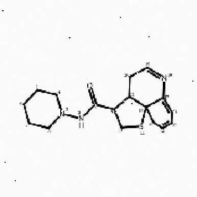 O=C(NN1CCCCC1)C1CSC23CC=CC=C2N=CCC13